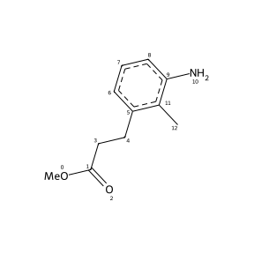 COC(=O)CCc1cccc(N)c1C